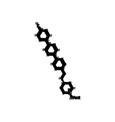 CCCCC[Si@H]1CC[C@H](CCc2ccc(-c3ccc(-c4ccc(F)cc4)cc3)cc2)CC1